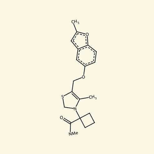 CNC(=O)C1(N2CSC(COc3ccc4oc(C)cc4c3)=C2C)CCC1